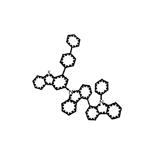 c1ccc(-c2ccc(-c3cc(-n4c5ccccc5c5c(-c6cccc7c8ccccc8n(-c8ccccc8)c67)cccc54)cc4c3sc3ccccc34)cc2)cc1